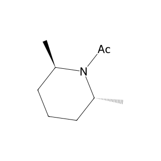 CC(=O)N1[C@H](C)CCC[C@H]1C